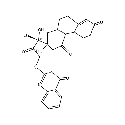 CC[C@](O)(C(=O)CSc1nc2ccccc2c(=O)[nH]1)C1(C)CC(=O)C2C(CCC3=CC(=O)CCC32)C1